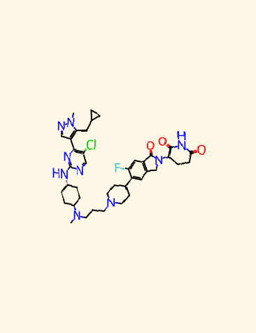 Cn1ncc(-c2nc(N[C@H]3CC[C@H](N(C)CCCN4CCC(c5cc6c(cc5F)C(=O)N(C5CCC(=O)NC5=O)C6)CC4)CC3)ncc2Cl)c1CC1CC1